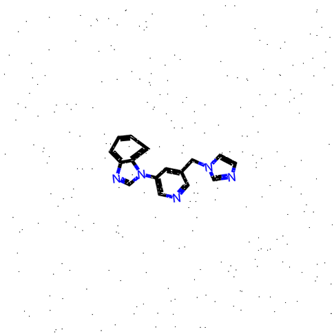 c1ccc2c(c1)ncn2-c1cncc(Cn2ccnc2)c1